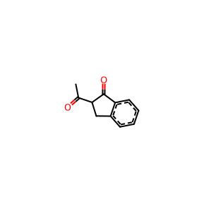 CC(=O)C1Cc2ccccc2C1=O